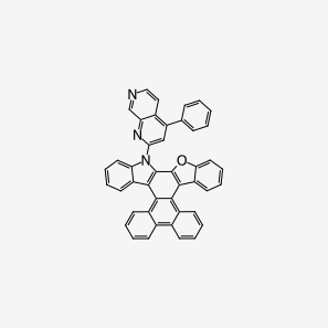 c1ccc(-c2cc(-n3c4ccccc4c4c5c6ccccc6c6ccccc6c5c5c6ccccc6oc5c43)nc3cnccc23)cc1